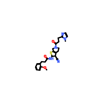 COc1ccccc1CCC(=O)NC1SC2=C(CCN(C(=O)CCc3nccn3C)C2)C1C#N